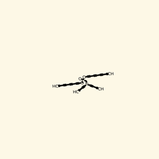 C#CC#CC#CC#COP(=O)(CN(C#CC#C)C#CC#C)OC#CC#CC#CC#C